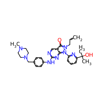 C=CCn1c(=O)c2cnc(Nc3ccc(CN4CCN(C)CC4)cc3)nc2n1-c1cccc(C(C)(C)O)n1